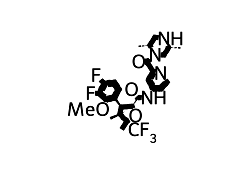 COc1c([C@H]2[C@H](C(=O)Nc3ccnc(C(=O)N4C[C@@H](C)NC[C@H]4C)c3)O[C@@](C)(C(F)(F)F)[C@H]2C)ccc(F)c1F